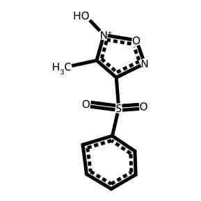 Cc1c(S(=O)(=O)c2ccccc2)no[n+]1O